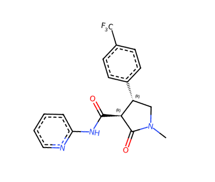 CN1C[C@@H](c2ccc(C(F)(F)F)cc2)[C@H](C(=O)Nc2ccccn2)C1=O